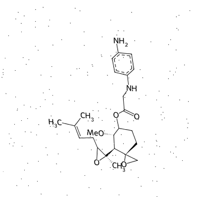 CO[C@@H]1C(OC(=O)CNc2ccc(N)cc2)CC[C@]2(CO2)[C@H]1[C@@]1(C)OC1CC=C(C)C